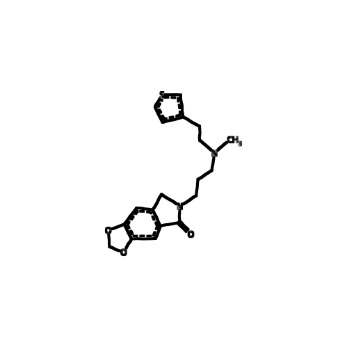 CN(CCCN1Cc2cc3c(cc2C1=O)OCO3)CCc1ccsc1